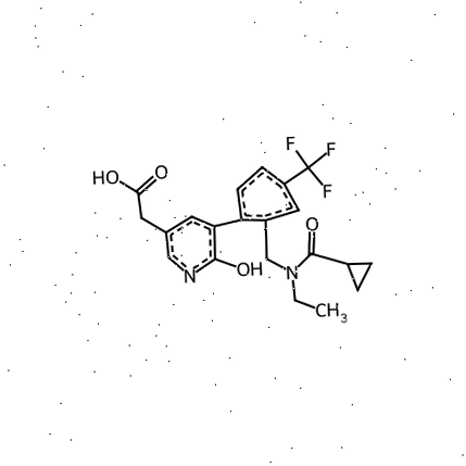 CCN(Cc1cc(C(F)(F)F)ccc1-c1cc(CC(=O)O)cnc1O)C(=O)C1CC1